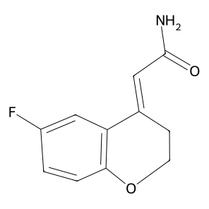 NC(=O)C=C1CCOc2ccc(F)cc21